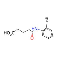 C#Cc1ccccc1NC(=O)CCCC(=O)O